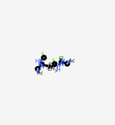 CC(=O)N1CCCC(c2nc(Cl)cc(Nc3cc(F)cc(C[Si](C)(C)C#Cc4cc(Nc5cccc(F)c5)nc(C5CCCN(C(C)=O)C5)n4)c3)n2)C1